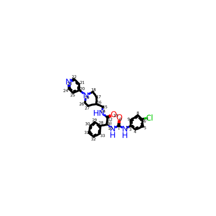 O=C(Nc1ccc(Cl)cc1)N[C@H](C(=O)NCC1CCN(c2ccncc2)CC1)c1ccccc1